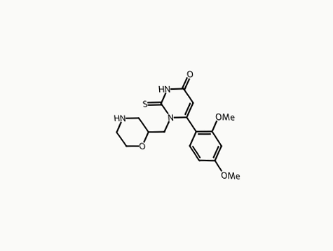 COc1ccc(-c2cc(=O)[nH]c(=S)n2CC2CNCCO2)c(OC)c1